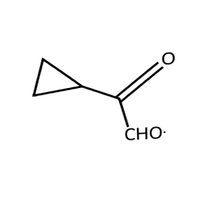 O=[C]C(=O)C1CC1